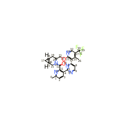 Cc1ccc(-c2ncccn2)c(C(=O)N2C[C@H]3C[C@H]3C[C@H]2COc2cc(C)c(C(F)(F)F)cn2)n1